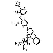 CC(C)(C)[S@@+]([O-])N[C@@H]1c2ccccc2CC12CCN(c1cnc(Sc3ccnc(N4CCC4)c3Cl)c(N)n1)CC2